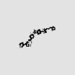 O=S(=O)(Nc1ccc(CCNCC(O)c2cccnc2)cc1)c1ccc(-c2nc(CCCC3CCCC3)cs2)cc1